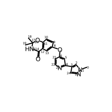 Cn1cc(-c2cc(Oc3ccc4c(c3)C(=O)NC(C)(C)O4)ccn2)cn1